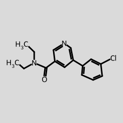 CCN(CC)C(=O)c1cncc(-c2cccc(Cl)c2)c1